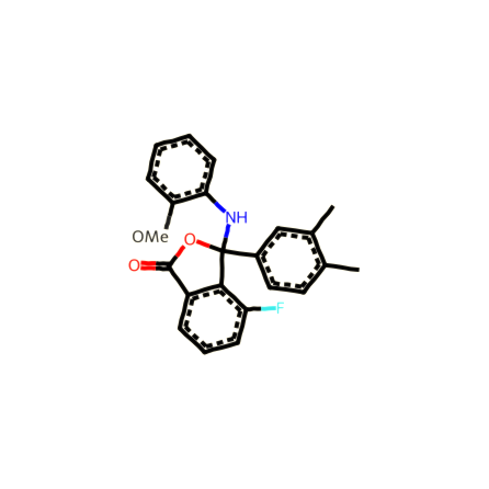 COc1ccccc1NC1(c2ccc(C)c(C)c2)OC(=O)c2cccc(F)c21